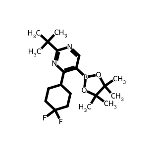 CC(C)(C)c1ncc(B2OC(C)(C)C(C)(C)O2)c(C2CCC(F)(F)CC2)n1